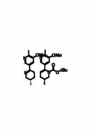 COc1cc(C2=CC[C@H](C)CN2C(=O)OC(C)(C)C)cnc1C.COc1cc(C2=NC[C@@H](C)CC2)cnc1C